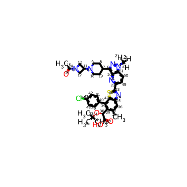 [2H]C([2H])([2H])n1nc(C2CCN(C3CN(C(C)=O)C3)CC2)c2nc(-c3nc4cc(C)c([C@H](OC(C)(C)C)C(=O)O)c(-c5ccc(Cl)cc5)c4s3)ccc21